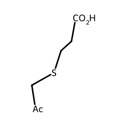 CC(=O)CSCCC(=O)O